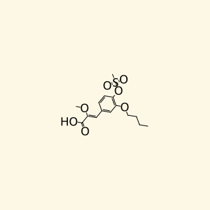 CCCCOc1cc(C=C(OC)C(=O)O)ccc1OS(C)(=O)=O